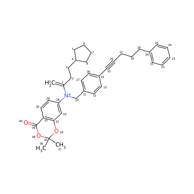 C=C(CCC1CCCC1)N(Cc1ccc(C#CCCCc2ccccc2)cc1)c1ccc2c(c1)OC(C)(C)OC2=O